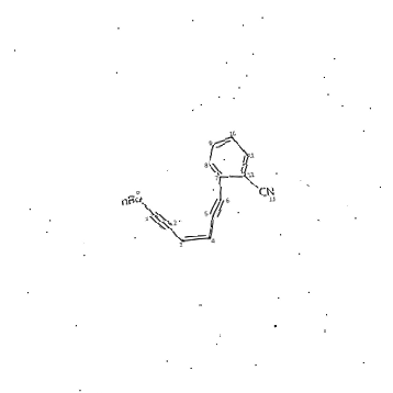 CCCCC#C/C=C\C#Cc1ccccc1C#N